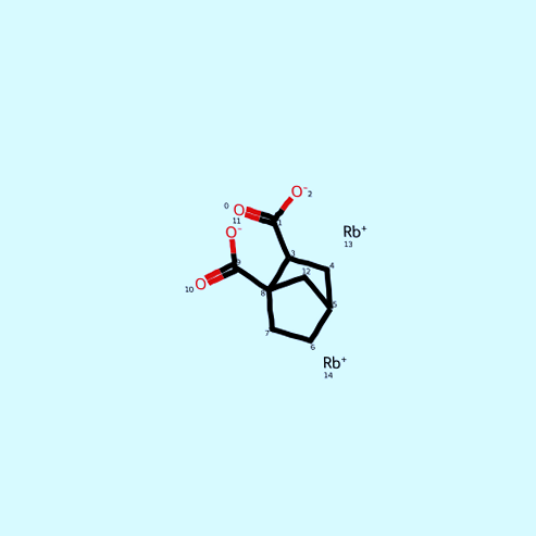 O=C([O-])C1CC2CCC1(C(=O)[O-])C2.[Rb+].[Rb+]